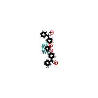 O=C=C(c1ccccc1)c1ccc(OC2=C(Oc3ccc(C(=C=O)c4ccccc4)cc3)C(F)(F)C(F)(F)C2(F)F)cc1